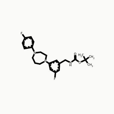 CC(C)(C)OC(=O)NCc1cc(F)cc(N2CCCN(c3ccc(F)cc3)CC2)c1